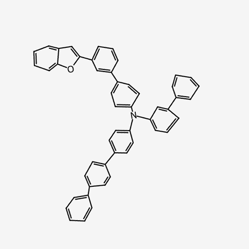 c1ccc(-c2ccc(-c3ccc(N(c4ccc(-c5cccc(-c6cc7ccccc7o6)c5)cc4)c4cccc(-c5ccccc5)c4)cc3)cc2)cc1